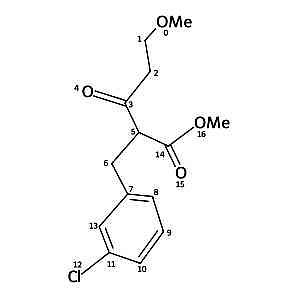 COCCC(=O)C(Cc1cccc(Cl)c1)C(=O)OC